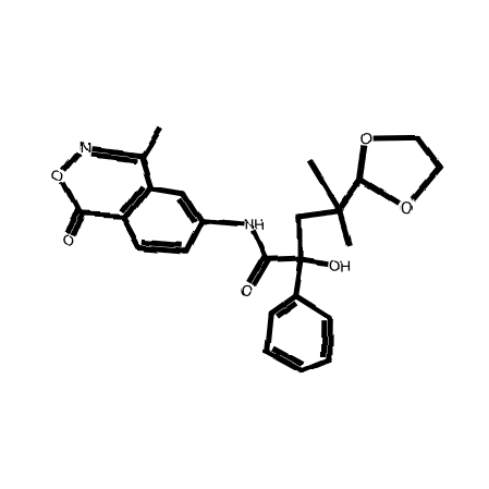 Cc1noc(=O)c2ccc(NC(=O)C(O)(CC(C)(C)C3OCCO3)c3ccccc3)cc12